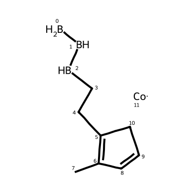 BBBCCC1=C(C)C=CC1.[Co]